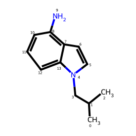 CC(C)Cn1ccc2c(N)cccc21